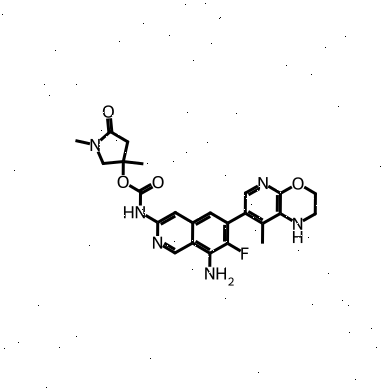 Cc1c(-c2cc3cc(NC(=O)OC4(C)CC(=O)N(C)C4)ncc3c(N)c2F)cnc2c1NCCO2